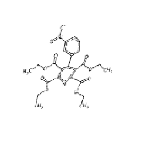 CCOC(=O)c1nc(C(=O)OCC)c(C(=O)OCC)c(-c2cccc([N+](=O)[O-])c2)c1C(=O)OCC